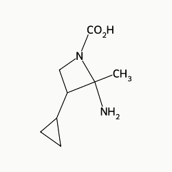 CC1(N)C(C2CC2)CN1C(=O)O